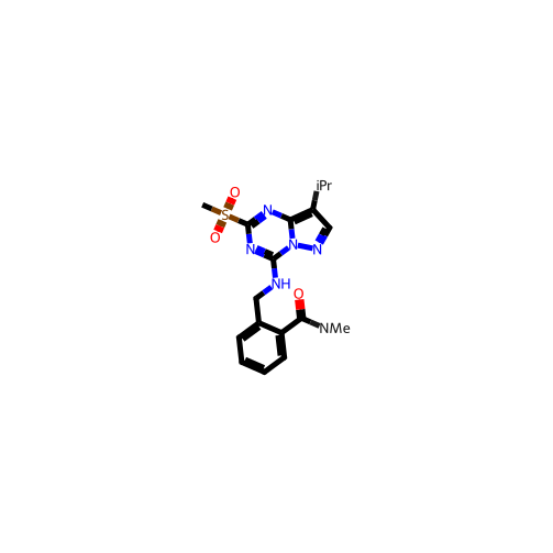 CNC(=O)c1ccccc1CNc1nc(S(C)(=O)=O)nc2c(C(C)C)cnn12